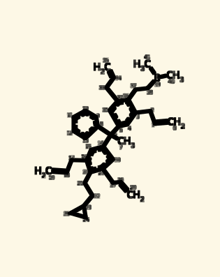 C=CCc1cc(C(C)(c2ccccc2)c2cc(CC=C)c(CCC3CC3)c(CC=C)c2)cc(CC=C)c1CCB(C)C